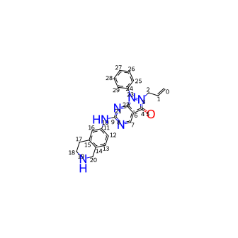 C=CCn1c(=O)c2cnc(Nc3ccc4c(c3)CCNC4)nc2n1-c1ccccc1